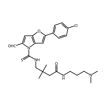 CN(C)CCCNC(=O)CC(C)(C)CNC(=S)n1c(C=O)cc2oc(-c3ccc(Cl)cc3)cc21